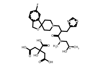 C[C@@H](O)CN(C)C(=O)C(Cc1cscn1)CN1CCC2(CC1)OCc1ccc(F)cc12.O=C(O)CC(O)(CC(=O)O)C(=O)O